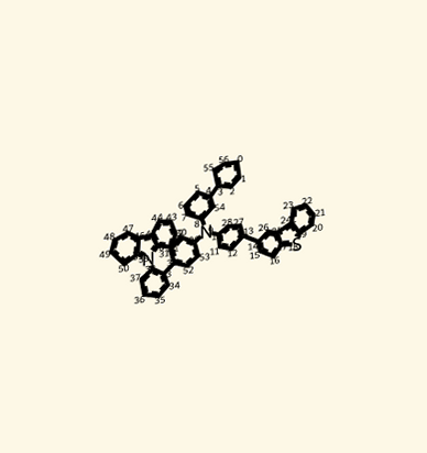 c1ccc(-c2cccc(N(c3ccc(-c4ccc5sc6ccccc6c5c4)cc3)c3ccc(-c4ccccc4-n4c5ccccc5c5ccccc54)cc3)c2)cc1